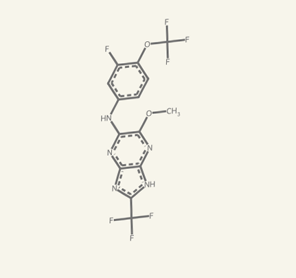 COc1nc2[nH]c(C(F)(F)F)nc2nc1Nc1ccc(OC(F)(F)F)c(F)c1